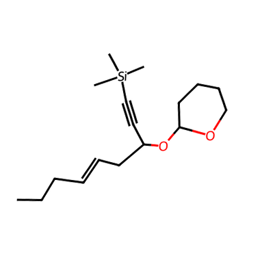 CCCC=CCC(C#C[Si](C)(C)C)OC1CCCCO1